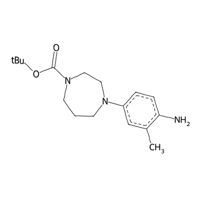 Cc1cc(N2CCCN(C(=O)OC(C)(C)C)CC2)ccc1N